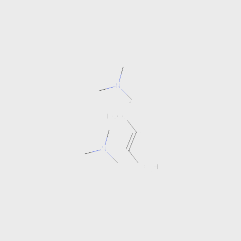 CN(C)C.CN(C)C.O=C(O)C=CC(=O)O